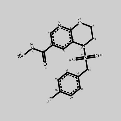 CC(C)(C)NC(=O)c1cnc2c(c1)N(S(=O)(=O)Cc1ccc(F)cc1)CCO2